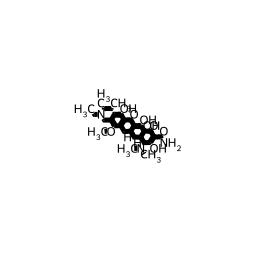 CCC(C)N(CC)Cc1cc(O)c2c(c1OC)C[C@H]1C[C@H]3[C@H](N(C)C)C(O)=C(C(N)=O)C(=O)[C@@]3(O)C(O)=C1C2=O